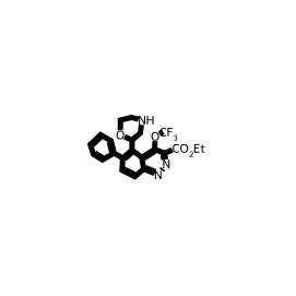 CCOC(=O)c1nnc2ccc(-c3ccccc3)c(C3CNCCO3)c2c1OC(F)(F)F